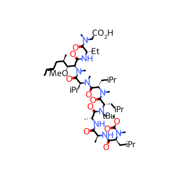 C/C=C/C[C@@H](C)[C@@H](OC)[C@@H](C(=O)N[C@@H](CC)C(=O)N(C)CC(=O)O)N(C)C(=O)[C@H](C(C)C)N(C)C(=O)[C@H](CC(C)C)N(C)C(=O)[C@H](CC(C)C)N(C)C(=O)[C@@H](C)NC(=O)[C@H](C)NC(=O)[C@H](CC(C)C)N(C)C(=O)OC(C)(C)C